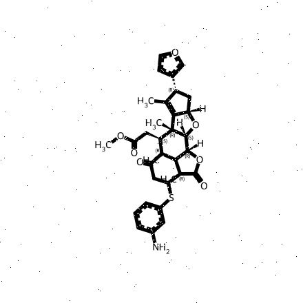 COC(=O)C[C@H]1[C@]2(C)C3=C(C)[C@H](c4ccoc4)C[C@@H]3O[C@@H]2[C@@H]2OC(=O)[C@]3(C)C(Sc4cccc(N)c4)CC(=O)[C@@]1(C)C23